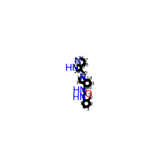 Cc1ccccc1NC(=O)Nc1cccc2c1ccn2Cc1c[nH]c2ncccc12